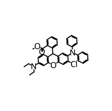 CCN(CC)c1ccc2c(c1)Oc1cc(Cl)c(N(c3ccccc3)c3ccccc3)cc1C2c1ccccc1C(=O)OC